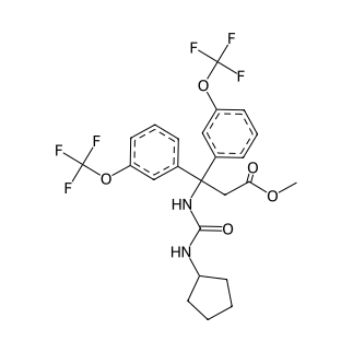 COC(=O)CC(NC(=O)NC1CCCC1)(c1cccc(OC(F)(F)F)c1)c1cccc(OC(F)(F)F)c1